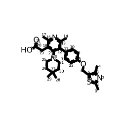 Cc1nc(C)c(COc2ccc(-c3c(C)nc(C)c(CC(=O)O)c3N3CCC(C)(C)CC3)cc2)s1